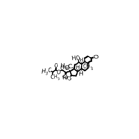 CC(C)C(=O)OCC(=O)[C@@]1(O)C(O)C[C@H]2[C@@H]3CCC4=CC(=O)C=C[C@]4(C)[C@H]3C(O)C[C@@]21C